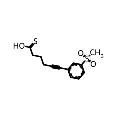 CS(=O)(=O)c1cccc(C#CCCCC(O)=S)c1